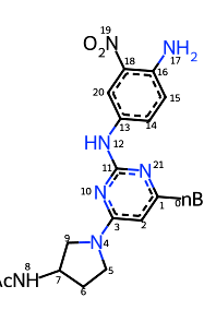 CCCCc1cc(N2CCC(NC(C)=O)C2)nc(Nc2ccc(N)c([N+](=O)[O-])c2)n1